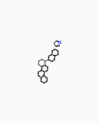 C1=CN=CC1.c1ccc2cc(C3CCCc4c3ccc3c4ccc4ccccc43)ccc2c1